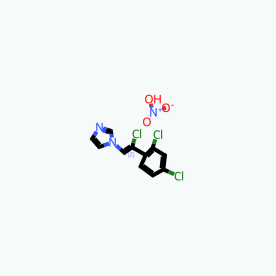 Cl/C(=C\n1ccnc1)c1ccc(Cl)cc1Cl.O=[N+]([O-])O